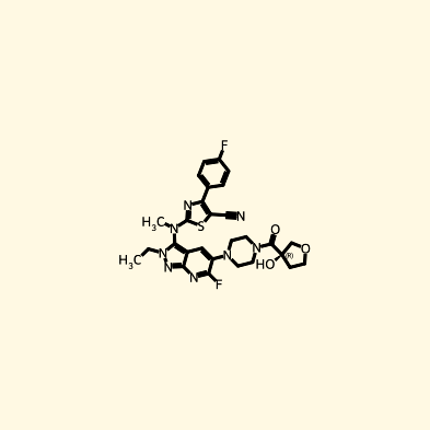 CCn1nc2nc(F)c(N3CCN(C(=O)[C@@]4(O)CCOC4)CC3)cc2c1N(C)c1nc(-c2ccc(F)cc2)c(C#N)s1